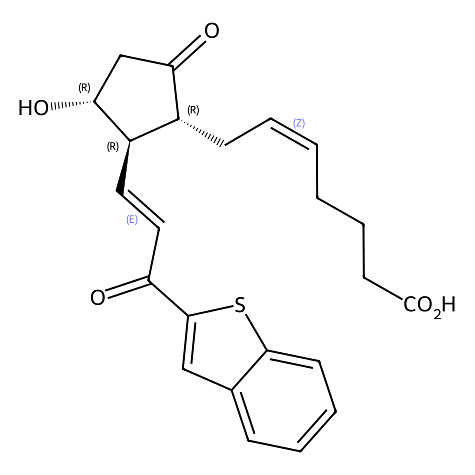 O=C(O)CCC/C=C\C[C@H]1C(=O)C[C@@H](O)[C@@H]1/C=C/C(=O)c1cc2ccccc2s1